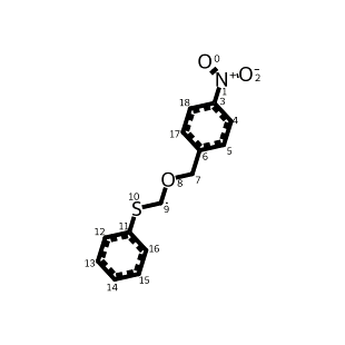 O=[N+]([O-])c1ccc(CO[CH]Sc2ccccc2)cc1